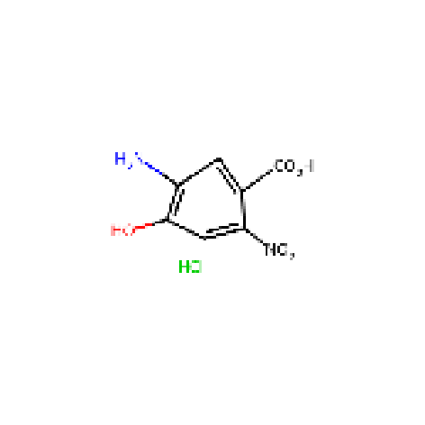 Cl.Nc1cc(C(=O)O)c([N+](=O)[O-])cc1O